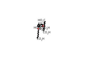 O=C(O)CCCCCCCCC(=O)O.O=C(O)CCCCCCCCCCC(=O)O.O=C(O)c1ccc(C(=O)O)cc1.O=C(O)c1ccccc1C(=O)O